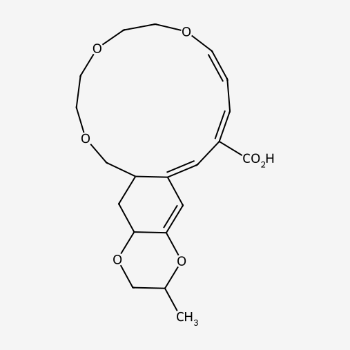 CC1COC2CC3COCCOCCO\C=C/C=C(C(=O)O)\C=C/3C=C2O1